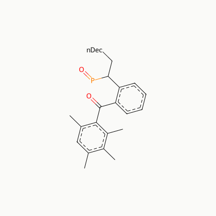 CCCCCCCCCCCC(P=O)c1ccccc1C(=O)c1c(C)cc(C)c(C)c1C